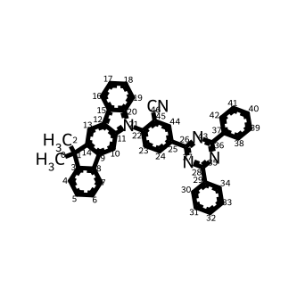 CC1(C)c2ccccc2-c2cc3c(cc21)c1ccccc1n3-c1ccc(-c2nc(-c3ccccc3)nc(-c3ccccc3)n2)cc1C#N